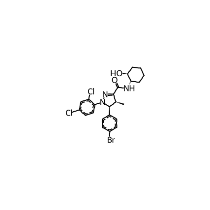 C[C@@H]1C(C(=O)N[C@H]2CCCC[C@@H]2O)=NN(c2ccc(Cl)cc2Cl)[C@@H]1c1ccc(Br)cc1